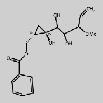 C=CC(OC)C(O)C(O)[C@@]1(O)C[C@H]1COC(=O)c1ccccc1